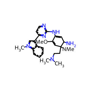 CNC1(CCN(C)C)C=C(OC)C(Nc2nccc(-c3cn(C)c4ccccc34)n2)=CC1N